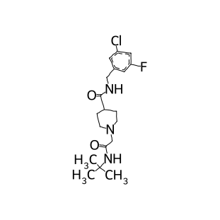 CC(C)(C)NC(=O)CN1CCC(C(=O)NCc2cc(F)cc(Cl)c2)CC1